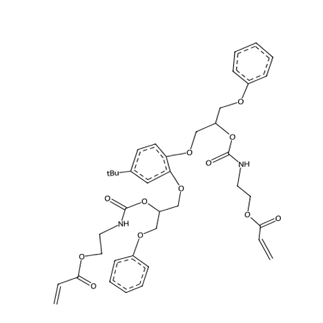 C=CC(=O)OCCNC(=O)OC(COc1ccccc1)COc1ccc(C(C)(C)C)cc1OCC(COc1ccccc1)OC(=O)NCCOC(=O)C=C